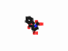 O=C(O)N1C[C@@H](O)C[C@@]1(Cc1ccccc1)C(=O)O